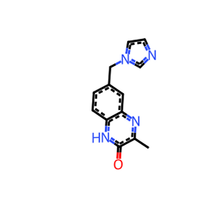 Cc1nc2cc(Cn3ccnc3)ccc2[nH]c1=O